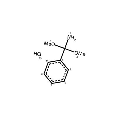 COC(N)(OC)c1ccccc1.Cl